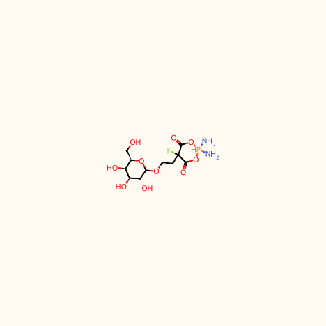 N[PH]1(N)OC(=O)C(F)(CCOC2O[C@H](CO)[C@H](O)[C@H](O)[C@H]2O)C(=O)O1